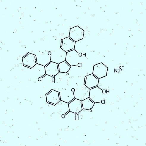 O=c1[nH]c2sc(Cl)c(-c3ccc4c(c3O)CCCC4)c2c([O-])c1-c1ccccc1.O=c1[nH]c2sc(Cl)c(-c3ccc4c(c3O)CCCC4)c2c([O-])c1-c1ccccc1.[K+].[Na+]